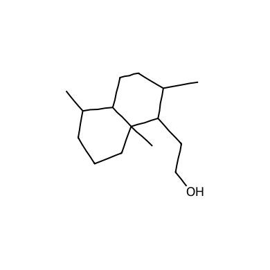 CC1CCC2C(C)CCCC2(C)C1CCO